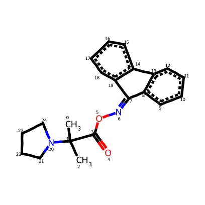 CC(C)(C(=O)ON=C1c2ccccc2-c2ccccc21)N1CCCC1